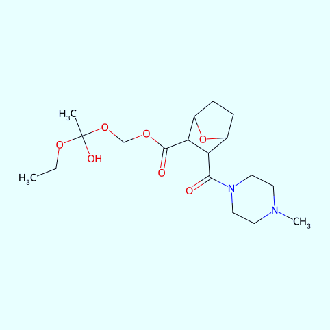 CCOC(C)(O)OCOC(=O)C1C2CCC(O2)C1C(=O)N1CCN(C)CC1